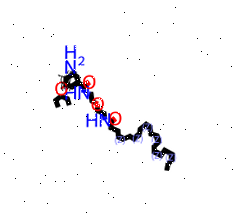 CC/C=C\C/C=C\C/C=C\C/C=C\C/C=C\C/C=C\CCC(=O)NCCOCCNC(=O)C1=C[C@@H](OC(CC)CC)[C@H](C)[C@@H](N)C1